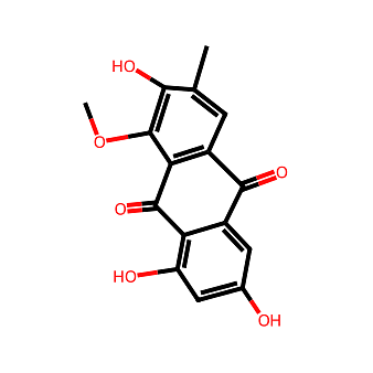 COc1c(O)c(C)cc2c1C(=O)c1c(O)cc(O)cc1C2=O